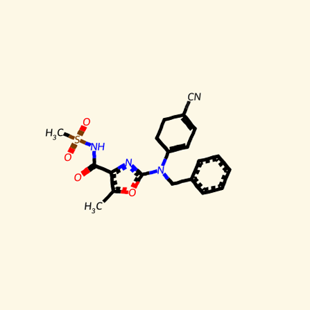 Cc1oc(N(Cc2ccccc2)C2=CC=C(C#N)CC2)nc1C(=O)NS(C)(=O)=O